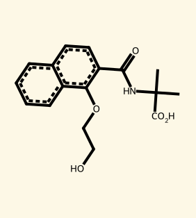 CC(C)(NC(=O)c1ccc2ccccc2c1OCCO)C(=O)O